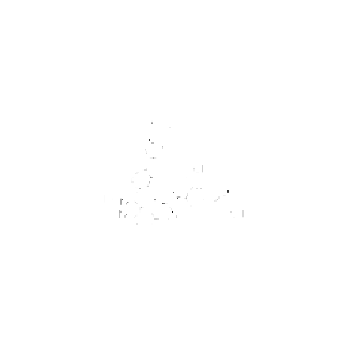 CCn1cc(-c2ccc(-c3c4c(nn3C)CCc3cnc(Nc5ccc(C(=O)OC)cc5OC)nc3-4)cc2)cn1